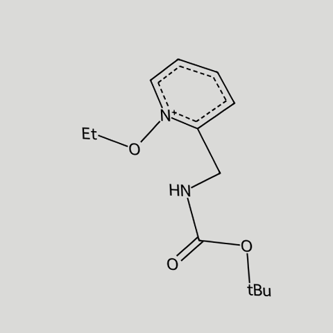 CCO[n+]1ccccc1CNC(=O)OC(C)(C)C